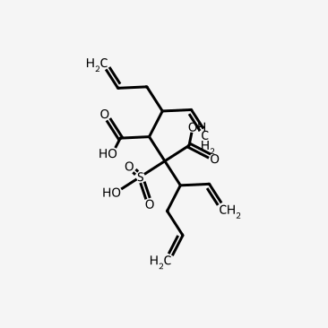 C=CCC(C=C)C(C(=O)O)C(C(=O)O)(C(C=C)CC=C)S(=O)(=O)O